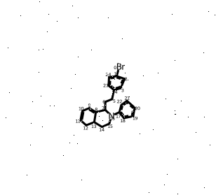 Brc1ccc(CCC2C3=CC=CCC3CCN2c2ccccc2)cc1